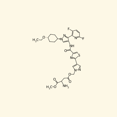 CCO[C@H]1CC[C@H](n2cc(NC(=O)c3csc(-c4cnn(COC(=O)CC(N)C(=O)OC)c4)n3)c(-c3nc(F)ccc3F)n2)CC1